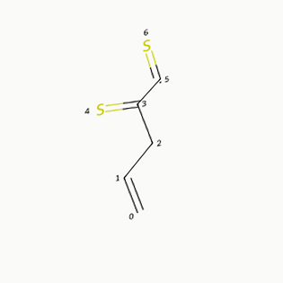 C=CCC(=S)[C]=S